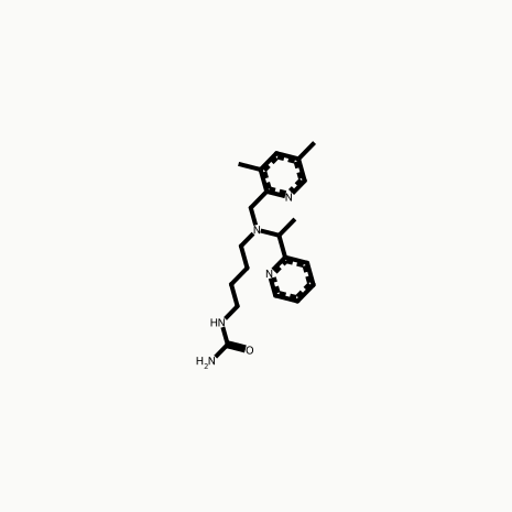 Cc1cnc(CN(CCCCNC(N)=O)C(C)c2ccccn2)c(C)c1